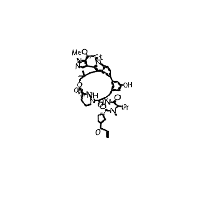 C=CC(=O)C1CC[C@H](C(=O)N(C)C(C(=O)N[C@H]2Cc3cc(O)cc(c3)-c3ccc4c(c3)c(c(-c3cnn(C)c3[C@H](C)OC)n4CC)CC(C)(C)COC(=O)[C@@H]3CCCN(N3)C2=O)C(C)C)C1